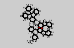 N#Cc1cccc(-c2cccc(N(c3ccc4c(c3)-c3ccccc3C4(c3ccccc3)c3ccccc3)c3ccc4c(c3)oc3ccccc34)c2-c2ccc3c(c2)sc2ccccc23)c1